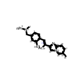 CCCN(C)Cc1ccc(/C=C(\C(C)=O)c2cn3cc(C)ccc3n2)c(CC)c1